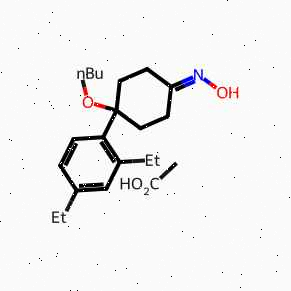 CC(=O)O.CCCCOC1(c2ccc(CC)cc2CC)CCC(=NO)CC1